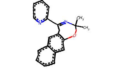 CC1(C)N=C(c2ccccn2)c2cc3ccccc3cc2O1